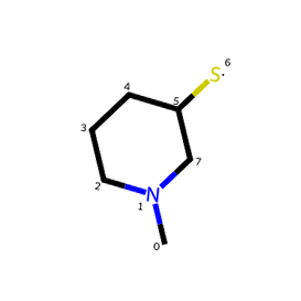 CN1CCCC([S])C1